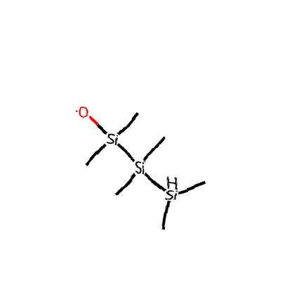 C[SiH](C)[Si](C)(C)[Si](C)(C)[O]